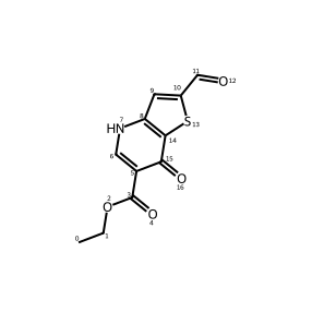 CCOC(=O)c1c[nH]c2cc(C=O)sc2c1=O